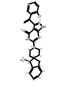 C=C(c1cnccc1Cl)c1n[nH]c2nc(N3CCC4(CC3)Cc3ccccc3[C@H]4N)[nH]c(=O)c12